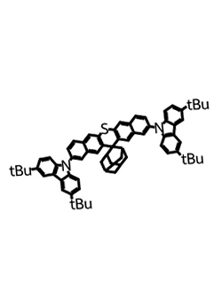 CC(C)(C)c1ccc2c(c1)c1cc(C(C)(C)C)ccc1n2-c1ccc2cc3c(cc2c1)C1(c2cc4cc(-n5c6ccc(C(C)(C)C)cc6c6cc(C(C)(C)C)ccc65)ccc4cc2S3)C2CC3CC(C2)CC1C3